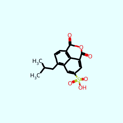 CC(C)Cc1ccc2c3c(cc(S(=O)(=O)O)cc13)C(=O)OC2=O